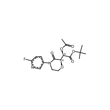 CC(=O)O[C@@H](C(=O)OC(C)(C)C)[C@H]1OCCN(c2ccc(F)nc2)C1=O